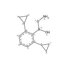 NOB(O)c1c(C2CC2)cccc1C1CC1